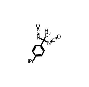 CC(C)c1ccc(C(C)(N=C=O)N=C=O)cc1